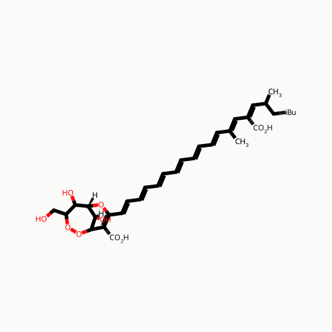 CCC(C)CC(C)/C=C(/C=C(C)/C=C/C=C/C=C/C=C/C=C/C=C/C1=C(C(=O)O)C2OOC(CO)C(O)[C@H](O1)[C@@H]2O)C(=O)O